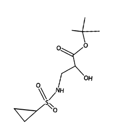 CC(C)(C)OC(=O)C(O)CNS(=O)(=O)C1CC1